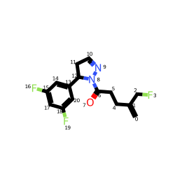 C=C(CF)CCC(=O)N1N=CCC1c1cc(F)cc(F)c1